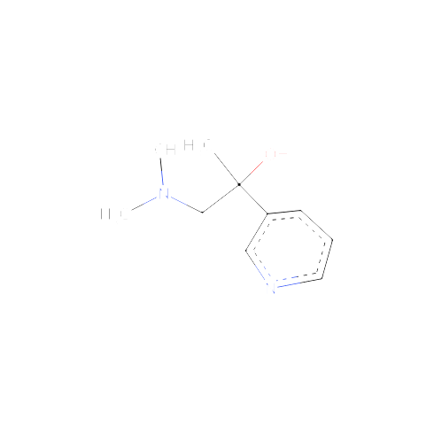 CN(C)CC(C)(O)c1cccnc1